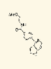 COCCNC(=O)c1ccc(-c2nccc3occc23)cc1